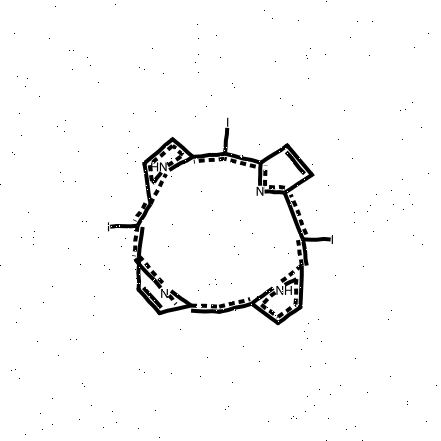 Ic1c2nc(c(I)c3ccc([nH]3)c(I)c3nc(cc4ccc1[nH]4)C=C3)C=C2